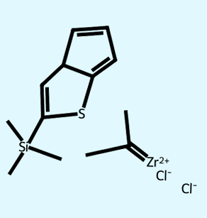 C[C](C)=[Zr+2].C[Si](C)(C)C1=CC2C=CC=C2S1.[Cl-].[Cl-]